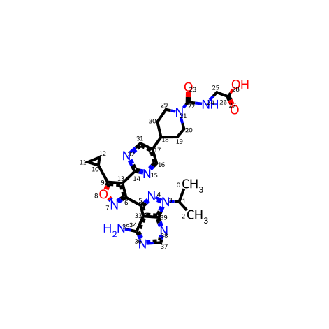 CC(C)n1nc(-c2noc(C3CC3)c2-c2ncc(C3CCN(C(=O)NCC(=O)O)CC3)cn2)c2c(N)ncnc21